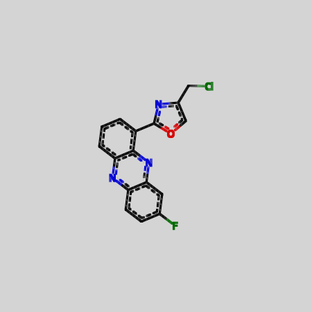 Fc1ccc2nc3cccc(-c4nc(CCl)co4)c3nc2c1